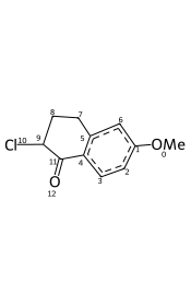 COc1ccc2c(c1)CCC(Cl)C2=O